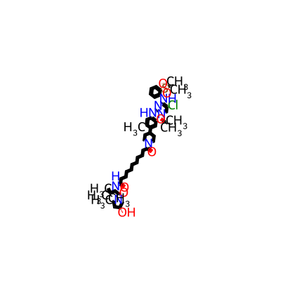 Cc1cc(Nc2ncc(Cl)c(Nc3ccccc3S(=O)(=O)C(C)C)n2)c(OC(C)C)cc1C1CCN(C(=O)CCCCCCCCCC(=O)N[C@H](C(=O)N2C[C@H](O)C[C@H]2C)C(C)(C)C)CC1